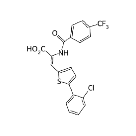 O=C(O)/C(=C/c1ccc(-c2ccccc2Cl)s1)NC(=O)c1ccc(C(F)(F)F)cc1